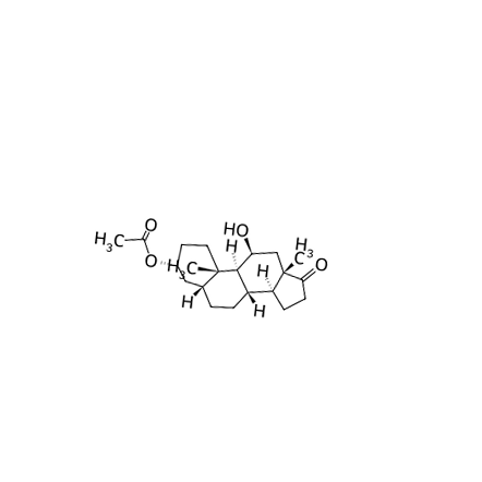 CC(=O)O[C@@H]1CC[C@@]2(C)[C@H](CC[C@@H]3[C@@H]2[C@@H](O)C[C@]2(C)C(=O)CC[C@@H]32)C1